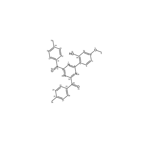 COc1ccc(-c2nc(C(=O)c3ccc(C)cc3)nc(C(=O)c3ccc(C)cc3)n2)c(O)c1